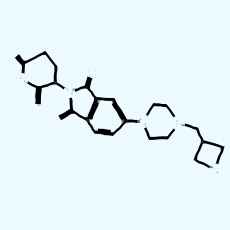 O=C1CCC(N2C(=O)c3ccc(N4CCN(CC5CNC5)CC4)cc3C2=O)C(=O)N1